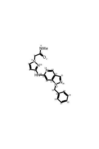 CNC(=O)Cn1ccc(Nc2cc3c(cn2)cnn3Cc2ccccc2)n1